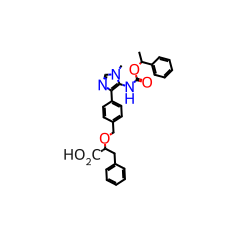 CC(OC(=O)Nc1c(-c2ccc(COC(Cc3ccccc3)C(=O)O)cc2)ncn1C)c1ccccc1